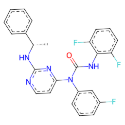 C[C@H](Nc1nccc(N(C(=O)Nc2c(F)cccc2F)c2cccc(F)c2)n1)c1ccccc1